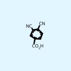 N#Cc1ccc(C(=O)O)cc1C#N